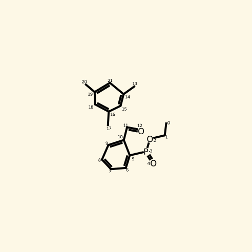 CCO[P](=O)c1ccccc1C=O.Cc1cc(C)cc(C)c1